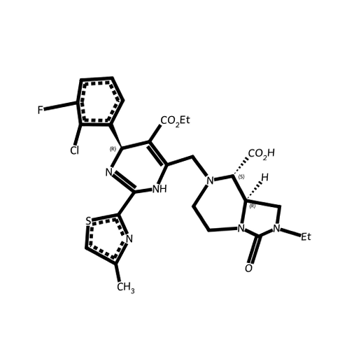 CCOC(=O)C1=C(CN2CCN3C(=O)N(CC)C[C@@H]3[C@H]2C(=O)O)NC(c2nc(C)cs2)=N[C@H]1c1cccc(F)c1Cl